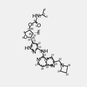 CC(C)NC(=O)O[C@@H]1CO[C@H](c2cc(Nc3nccc4nc(CN5CCC5)cn34)n[nH]2)[C@H]1F